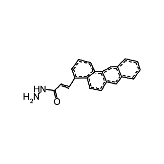 NNC(=O)C=Cc1cccc2c1ccc1cc3ccccc3cc12